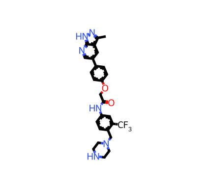 Cc1n[nH]c2ncc(-c3ccc(OCC(=O)Nc4ccc(CN5CCNCC5)c(C(F)(F)F)c4)cc3)cc12